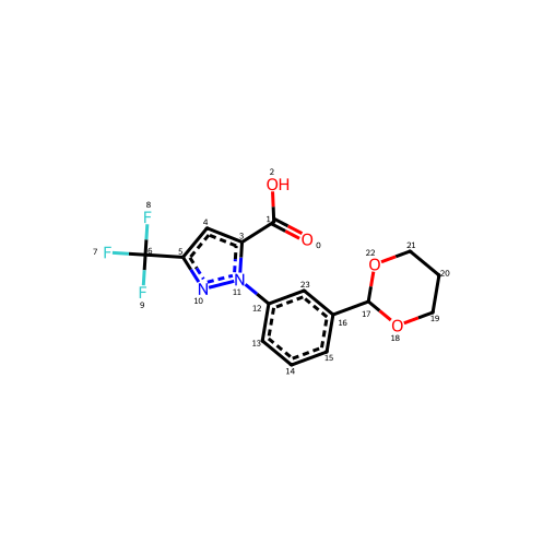 O=C(O)c1cc(C(F)(F)F)nn1-c1cccc(C2OCCCO2)c1